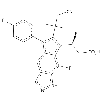 CC(C)(CC#N)c1c([C@@H](F)CC(=O)O)c2c(F)c3[nH]ncc3cc2n1-c1ccc(F)cc1